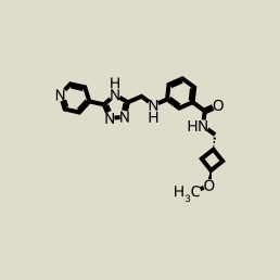 CO[C@H]1C[C@H](CNC(=O)c2cccc(NCc3nnc(-c4ccncc4)[nH]3)c2)C1